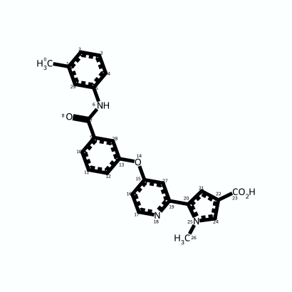 Cc1cccc(NC(=O)c2cccc(Oc3ccnc(-c4cc(C(=O)O)cn4C)c3)c2)c1